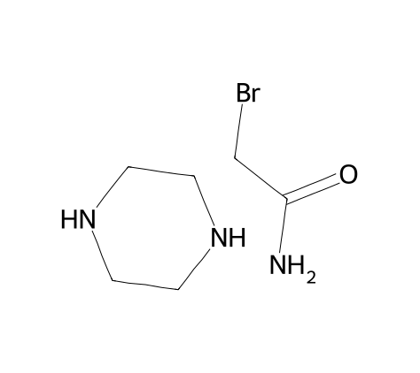 C1CNCCN1.NC(=O)CBr